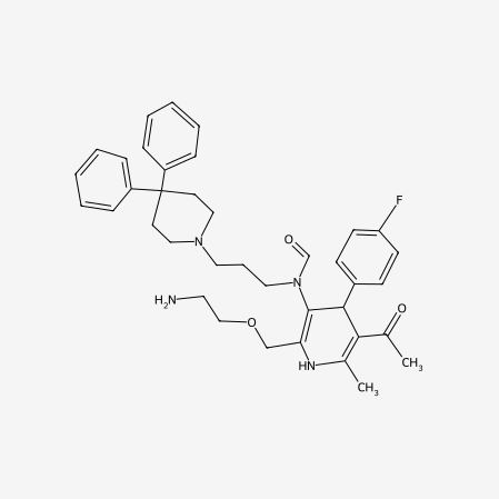 CC(=O)C1=C(C)NC(COCCN)=C(N(C=O)CCCN2CCC(c3ccccc3)(c3ccccc3)CC2)C1c1ccc(F)cc1